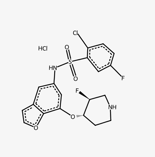 Cl.O=S(=O)(Nc1cc(O[C@H]2CCNC[C@@H]2F)c2occc2c1)c1cc(F)ccc1Cl